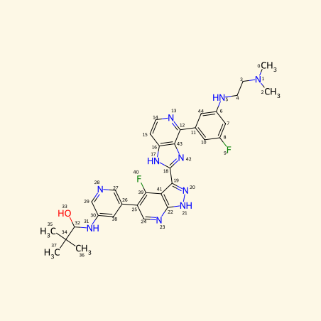 CN(C)CCNc1cc(F)cc(-c2nccc3[nH]c(-c4n[nH]c5ncc(-c6cncc(NC(O)C(C)(C)C)c6)c(F)c45)nc23)c1